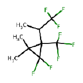 CC(C(F)(F)F)C1(C(F)(F)F)C(C)(C)C1(F)F